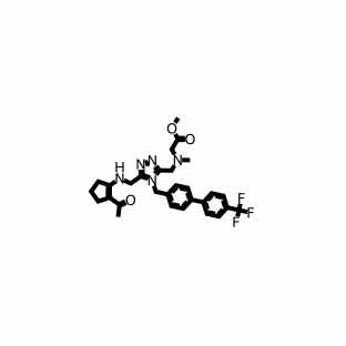 COC(=O)CN(C)Cc1nnc(CNC2=C(C(C)=O)CCC2)n1Cc1ccc(-c2ccc(C(F)(F)F)cc2)cc1